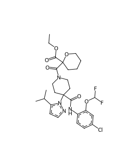 CCOC(=O)C1(C(=O)N2CCC(C(=O)Nc3ccc(Cl)cc3OC(F)F)(n3nccc3C(C)C)CC2)CCCCO1